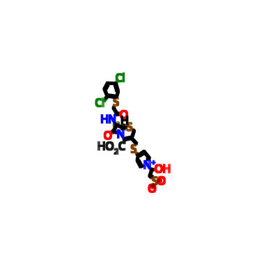 O=C(CSc1cc(Cl)ccc1Cl)N[C@H]1C(=O)N2C(C(=O)O)=C(CSc3cc[n+](C(O)C=S(=O)=O)cc3)CS[C@H]12